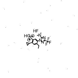 CCc1cc(C2CC2)c(S(=O)(=O)O)cc1-n1nc(C(F)(F)F)nc1N(C)C.F